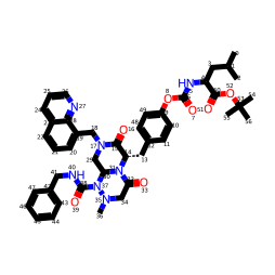 CC(C)CC(NC(=O)Oc1ccc(C[C@H]2C(=O)N(Cc3cccc4cccnc34)CC3N2C(=O)CN(C)N3C(=O)NCc2ccccc2)cc1)C(=O)OC(C)(C)C